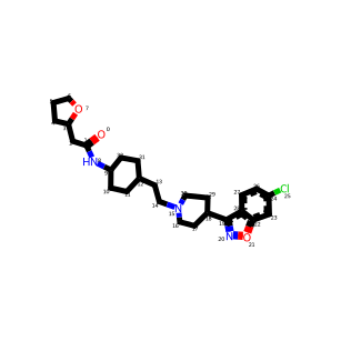 O=C(CC1CCCO1)NC1CCC(CCN2CCC(c3noc4cc(Cl)ccc34)CC2)CC1